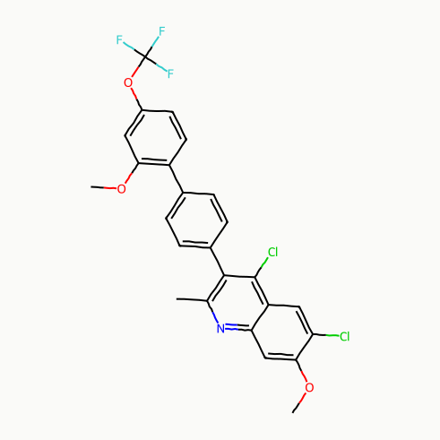 COc1cc2nc(C)c(-c3ccc(-c4ccc(OC(F)(F)F)cc4OC)cc3)c(Cl)c2cc1Cl